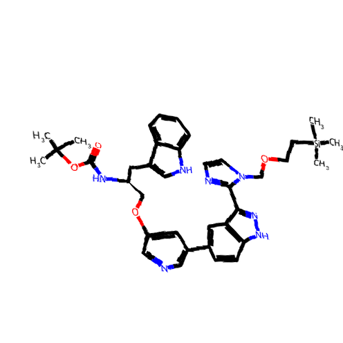 CC(C)(C)OC(=O)N[C@H](COc1cncc(-c2ccc3[nH]nc(-c4nccn4COCC[Si](C)(C)C)c3c2)c1)Cc1c[nH]c2ccccc12